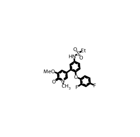 CCS(=O)(=O)Nc1ccc(Oc2ccc(F)cc2F)c(-c2cc(OC)c(=O)n(C)c2)c1